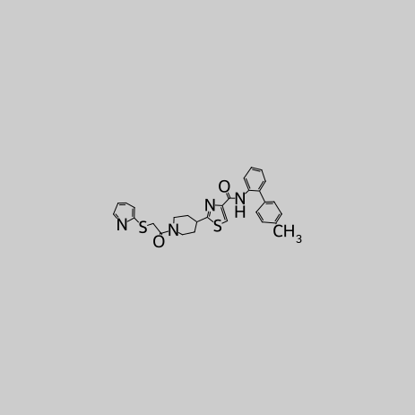 Cc1ccc(-c2ccccc2NC(=O)c2csc(C3CCN(C(=O)CSc4ccccn4)CC3)n2)cc1